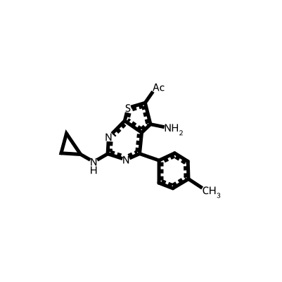 CC(=O)c1sc2nc(NC3CC3)nc(-c3ccc(C)cc3)c2c1N